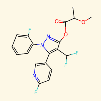 COC(C)C(=O)Oc1nn(-c2ccccc2F)c(-c2ccc(F)nc2)c1C(F)F